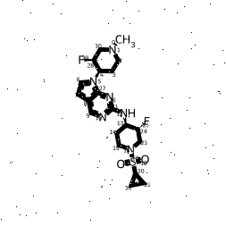 CN1CC[C@@H](n2ccc3cnc(N[C@@H]4CCN(S(=O)(=O)C5CC5)C[C@H]4F)nc32)[C@@H](F)C1